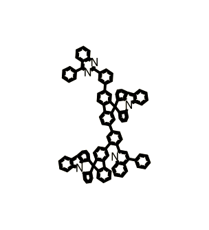 c1ccc(-c2cc(-c3ccc(-c4ccc5c(c4)C4(c6cc(-c7cccc(-c8nc(-c9ccccc9)c9ccccc9n8)c7)ccc6-5)c5ccccc5-n5c6ccccc6c6cccc4c65)cc3-c3ccc4c(c3)-c3ccccc3C43c4ccccc4-n4c5ccccc5c5cccc3c54)nc3ccccc23)cc1